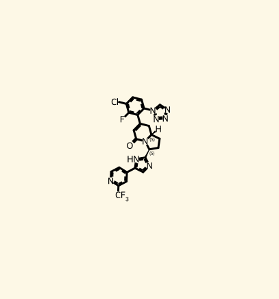 O=C1C=C(c2c(-n3cnnn3)ccc(Cl)c2F)C[C@@H]2CC[C@@H](c3ncc(-c4ccnc(C(F)(F)F)c4)[nH]3)N12